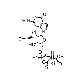 Nc1nc2c(ccn2[C@@H]2O[C@H](COP(=O)(O)OP(=O)(O)OP(=O)(O)O)[C@H](O)C2(Cl)C#CCl)c(=O)[nH]1